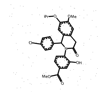 COC(=O)c1ccc(N2C(=O)Cc3cc(OC)c(OC(C)C)cc3C2c2ccc(Cl)cc2)c(O)c1